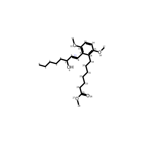 CCCCCC(O)/C=C/c1c(OC)ccc(OC)c1CCCCCCC(=O)OC